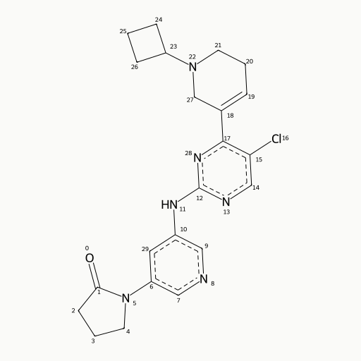 O=C1CCCN1c1cncc(Nc2ncc(Cl)c(C3=CCCN(C4CCC4)C3)n2)c1